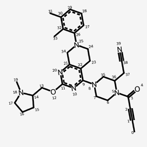 CC#CC(=O)N1CCN(c2nc(OCC3CCCN3C)nc3c2CCN(c2cccc(C)c2C)C3)CC1CC#N